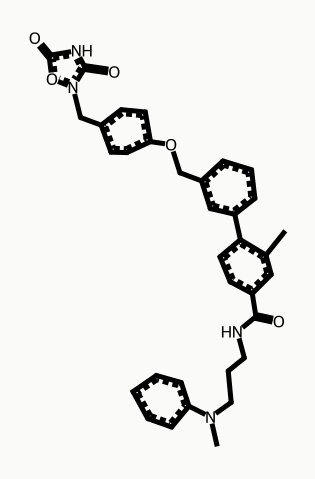 Cc1cc(C(=O)NCCCN(C)c2ccccc2)ccc1-c1cccc(COc2ccc(Cn3oc(=O)[nH]c3=O)cc2)c1